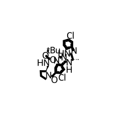 C[C@H](Nc1ncnc2cc(C(=O)N3CCC[C@H]3CNC(=O)OC(C)(C)C)c(Cl)cc12)c1nc2cc(Cl)ccc2[nH]1